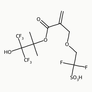 C=C(COCC(F)(F)S(=O)(=O)O)C(=O)OC(C)(C)C(O)(C(F)(F)F)C(F)(F)F